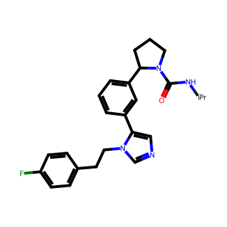 CC(C)NC(=O)N1CCCC1c1cccc(-c2cncn2CCc2ccc(F)cc2)c1